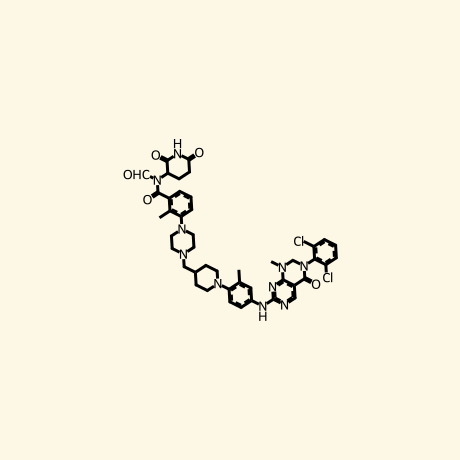 Cc1cc(Nc2ncc3c(n2)N(C)CN(c2c(Cl)cccc2Cl)C3=O)ccc1N1CCC(CN2CCN(c3cccc(C(=O)N(C=O)C4CCC(=O)NC4=O)c3C)CC2)CC1